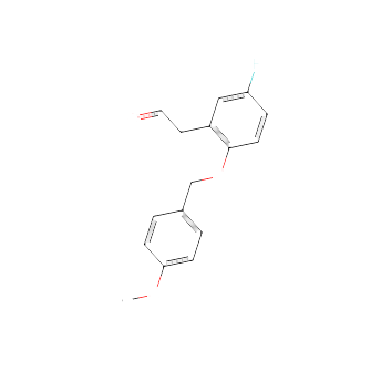 COc1ccc(COc2ccc(F)cc2CC=O)cc1